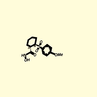 COc1ccc(S(=O)(=O)[C@@H]2CCCC[C@H]2C(=O)NO)cc1